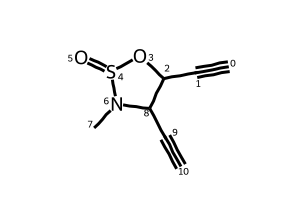 C#CC1OS(=O)N(C)C1C#C